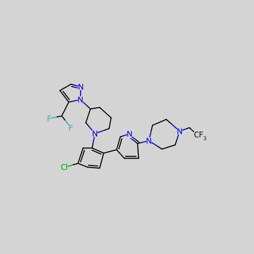 FC(F)c1ccnn1C1CCCN(c2cc(Cl)ccc2-c2ccc(N3CCN(CC(F)(F)F)CC3)nc2)C1